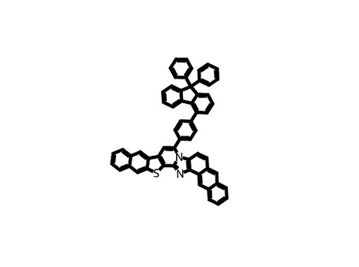 c1ccc(C2(c3ccccc3)c3ccccc3-c3c(-c4ccc(-c5cc6c7cc8ccccc8cc7sc6c6nc7c8cc9ccccc9cc8ccc7n56)cc4)cccc32)cc1